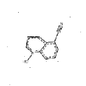 N#Cc1cccc2c1ccc[n+]2O